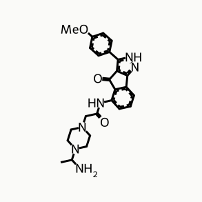 COc1ccc(-c2[nH]nc3c2C(=O)c2c(NC(=O)CN4CCN(C(C)N)CC4)cccc2-3)cc1